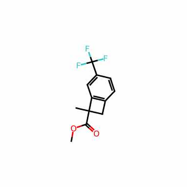 COC(=O)C1(C)Cc2ccc(C(F)(F)F)cc21